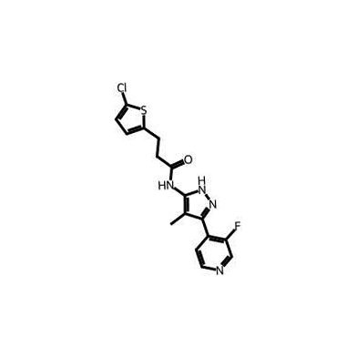 Cc1c(-c2ccncc2F)n[nH]c1NC(=O)CCc1ccc(Cl)s1